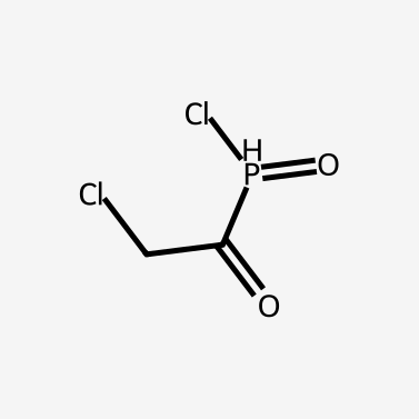 O=C(CCl)[PH](=O)Cl